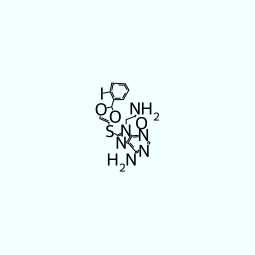 NC(=O)Cn1c(SC2=COC(c3ccccc3I)O2)nc2c(N)ncnc21